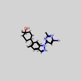 Cc1nc(I)cc(-n2ncc3cc(C)c(C4CCC(C)(O)CC4)cc32)n1